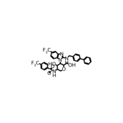 O=S(=O)(NC1COC(CO)C(n2c(NCc3ccc(-c4ccccc4)cc3)nc3cc(C(F)(F)F)ccc32)C1O)c1ccc(C(F)(F)F)cc1